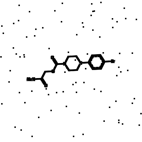 CNC(=O)COC(=O)N1CCN(c2ccc(Br)cc2)CC1